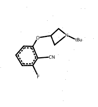 CC(C)(C)N1CC(Oc2cccc(F)c2C#N)C1